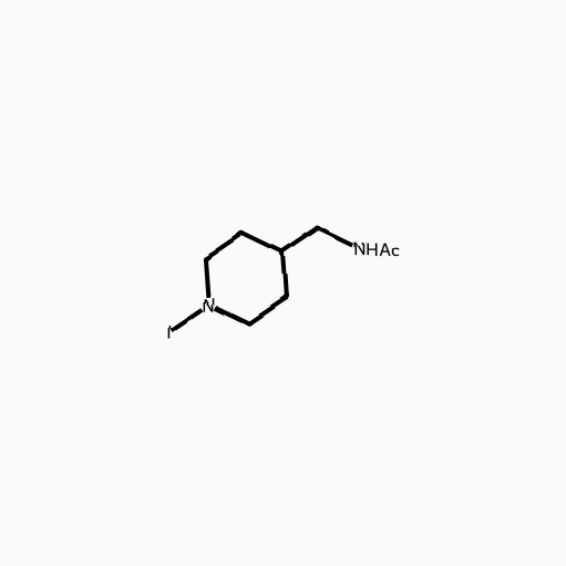 CC(=O)NCC1CCN(I)CC1